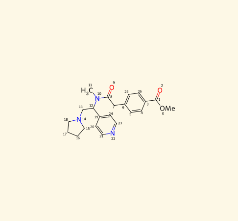 COC(=O)c1ccc(CC(=O)N(C)C(CN2CCCC2)c2ccncc2)cc1